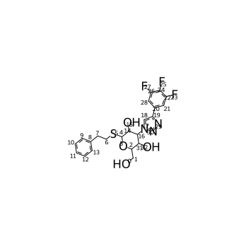 OCC1OC(SCCc2ccccc2)C(O)C(n2cc(-c3cc(F)c(F)c(F)c3)nn2)C1O